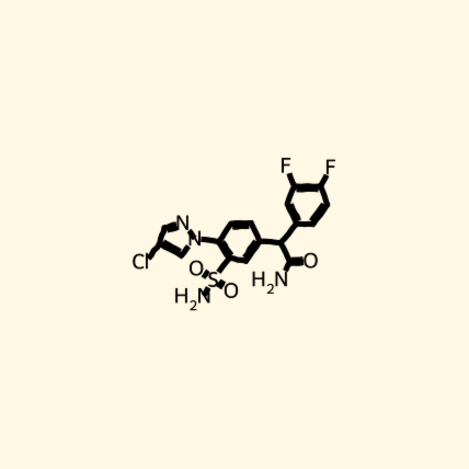 NC(=O)C(c1ccc(F)c(F)c1)c1ccc(-n2cc(Cl)cn2)c(S(N)(=O)=O)c1